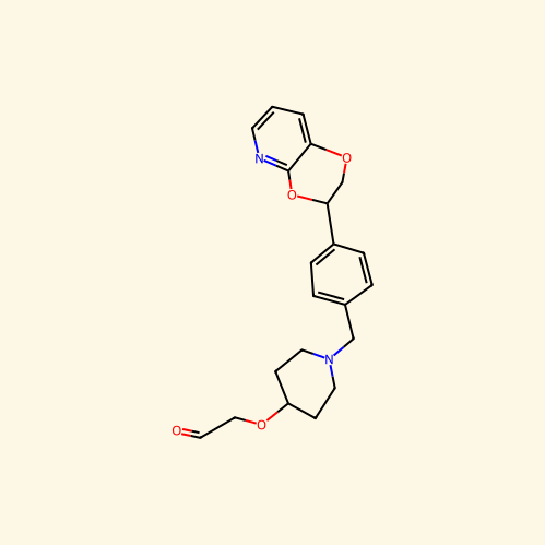 O=CCOC1CCN(Cc2ccc(C3COc4cccnc4O3)cc2)CC1